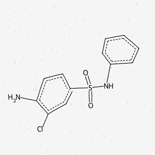 Nc1ccc(S(=O)(=O)Nc2ccccc2)cc1Cl